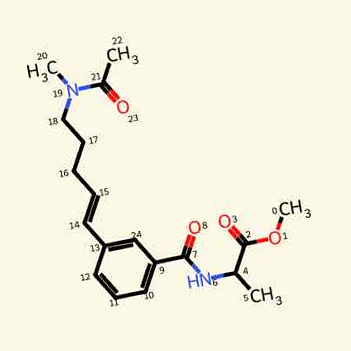 COC(=O)C(C)NC(=O)c1cccc(/C=C/CCCN(C)C(C)=O)c1